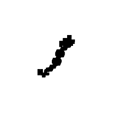 CCCCC[C@H]1CC[C@H]([C@H]2CC[C@H](CCc3cc(F)c(F)nc3F)CC2)CC1